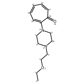 CCOCCN1CCN(c2cccccc2=O)CC1